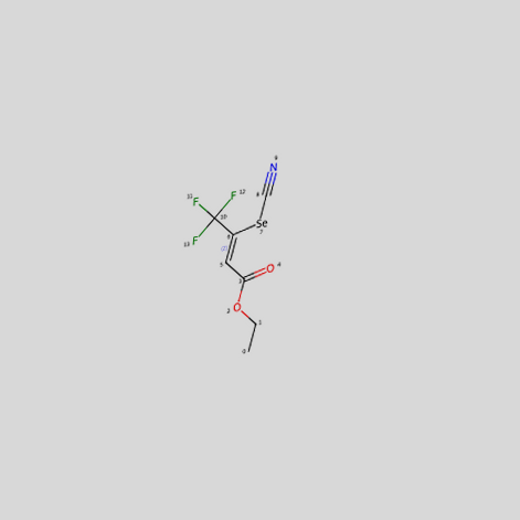 CCOC(=O)/C=C(\[Se]C#N)C(F)(F)F